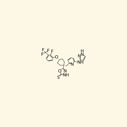 Fc1c(O[C@H]2CC[C@](Cc3cccc(Nc4cc[nH]n4)n3)(c3n[nH]c(=S)o3)CC2)cccc1C(F)(F)F